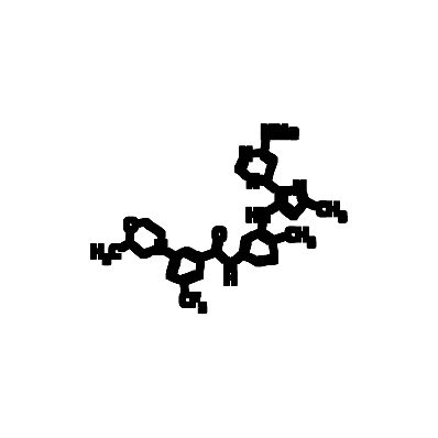 CNc1cc(-n2nc(C)cc2Nc2cc(NC(=O)c3cc(N4CCOC(C)C4)cc(C(F)(F)F)c3)ccc2C)ncn1